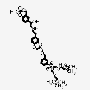 CC1(C)OCc2cc([C@@H](O)CNCCc3ccc4c(c3)O[C@H](COCc3cccc(S(=O)(=O)N(COCC[Si](C)(C)C)COCC[Si](C)(C)C)c3)CO4)ccc2O1